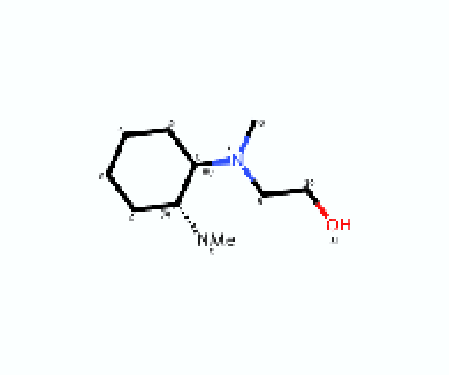 CN[C@@H]1CCCC[C@H]1N(C)CCO